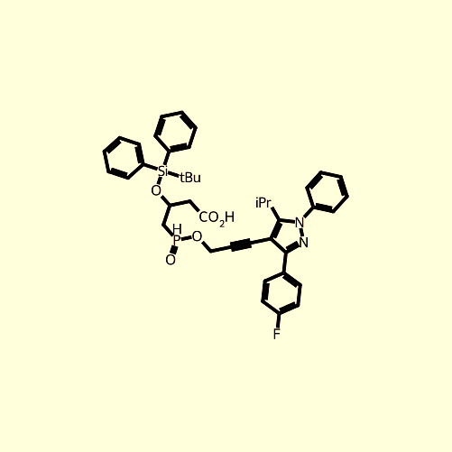 CC(C)c1c(C#CCO[PH](=O)CC(CC(=O)O)O[Si](c2ccccc2)(c2ccccc2)C(C)(C)C)c(-c2ccc(F)cc2)nn1-c1ccccc1